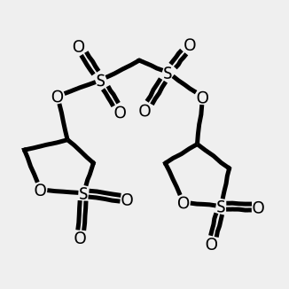 O=S1(=O)CC(OS(=O)(=O)CS(=O)(=O)OC2COS(=O)(=O)C2)CO1